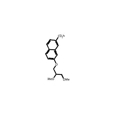 COCC(COc1ccc2ccc(C(=O)O)cc2c1)OC